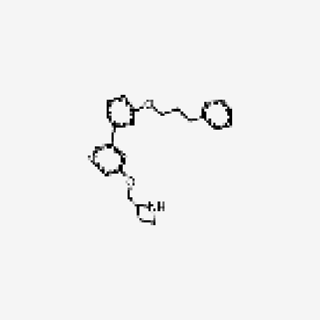 c1ccc(CCCOc2cccc(-c3cncc(OC[C@@H]4CCN4)c3)c2)cc1